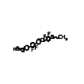 C=CCCOc1ccc(COC2CCC(c3ccc(C4CCC(OCCCC)CC4)c(F)c3F)CC2)c(F)c1F